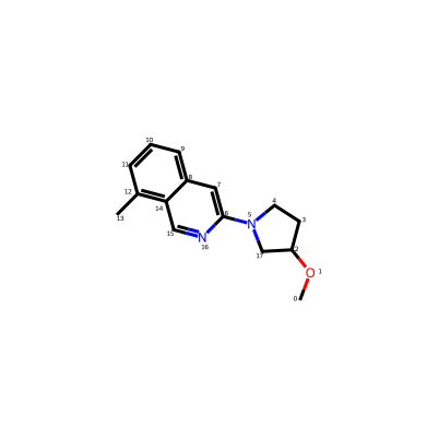 COC1CCN(c2cc3cccc(C)c3cn2)C1